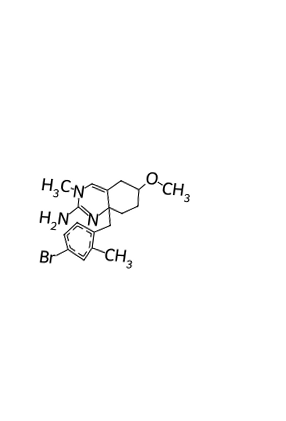 COC1CCC2(Cc3ccc(Br)cc3C)N=C(N)N(C)C=C2C1